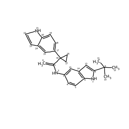 C=C(Nc1ccc2[nH]c(C(C)(C)C)cc2c1)C1(c2ccc3[nH]ccc3c2)CC1